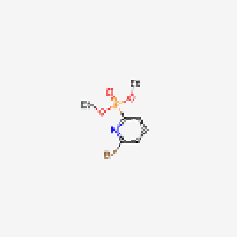 CCOP(=O)(OCC)c1cccc(Br)n1